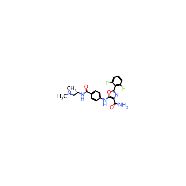 CN(C)CCNC(=O)c1ccc(Nc2oc(-c3c(F)cccc3F)nc2C(N)=O)cc1